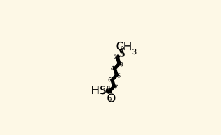 CSCCCCCCC(=O)S